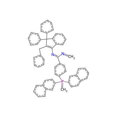 C=N/C(=N\C1=C(Cc2ccccc2)C(c2ccccc2)(c2ccccc2)c2ccccc21)c1ccc(P(=C)(c2ccc3ccccc3c2)c2ccc3ccccc3c2)cc1